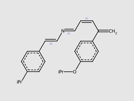 C=C(\C=C/C=N/C=C/c1ccc(C(C)C)cc1)c1ccc(OC(C)C)cc1